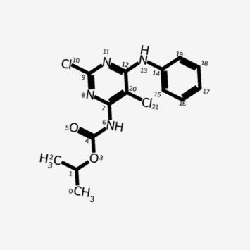 CC(C)OC(=O)Nc1nc(Cl)nc(Nc2ccccc2)c1Cl